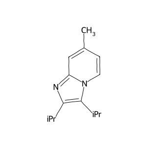 Cc1ccn2c(C(C)C)c(C(C)C)nc2c1